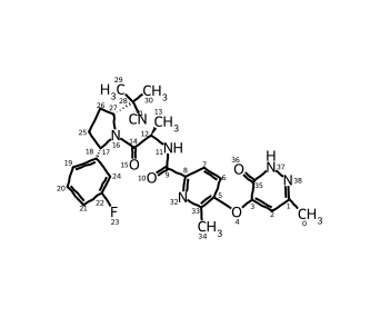 Cc1cc(Oc2ccc(C(=O)N[C@H](C)C(=O)N3[C@H](c4cccc(F)c4)CC[C@@H]3C(C)(C)C#N)nc2C)c(=O)[nH]n1